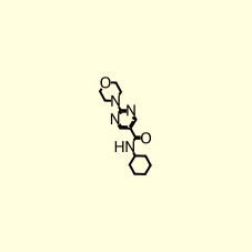 O=C(NC1CCCCC1)c1cnc(N2CCOCC2)nc1